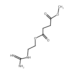 COC(=O)CCC(=O)OCCNC(=N)N